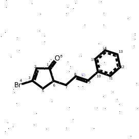 O=C1C=C(Br)CC1C/C=C/c1ccccc1